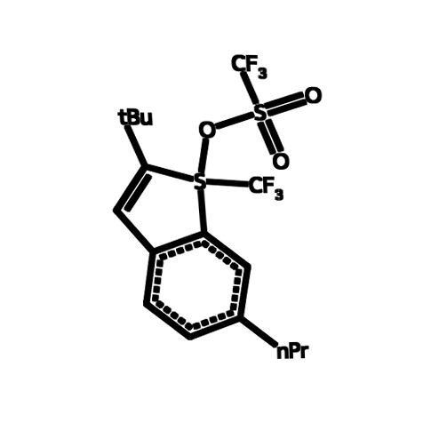 CCCc1ccc2c(c1)S(OS(=O)(=O)C(F)(F)F)(C(F)(F)F)C(C(C)(C)C)=C2